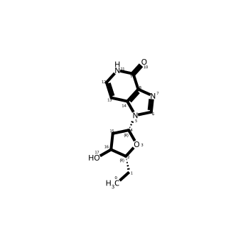 CC[C@H]1O[C@@H](n2cnc3c(=O)[nH]ccc32)CC1O